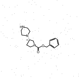 O=C(OCc1ccccc1)N1CC[C@H](N2CCNCC2)C1